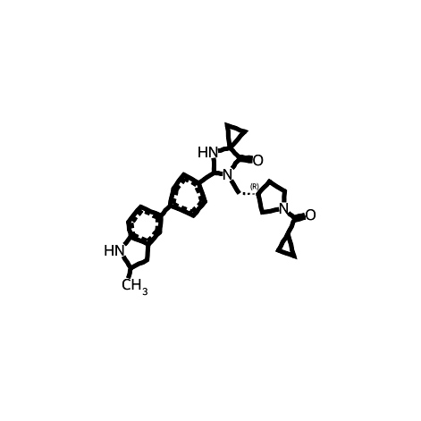 CC1Cc2cc(-c3ccc(C4NC5(CC5)C(=O)N4C[C@@H]4CCN(C(=O)C5CC5)C4)cc3)ccc2N1